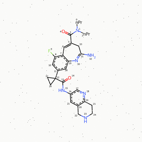 CCCN(CCC)C(=O)C1=Cc2c(F)cc(C3(C(=O)Nc4cnc5c(c4)CNCC5)CC3)cc2N=C(N)C1